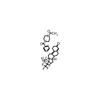 CC(=O)N1CCN(C(=O)c2ccc([C@H]3CC4(C)[C@@H](CC[C@@]4(O)C(F)(F)C(F)(F)F)C4CCC5=CC(=O)CCC5=C43)cc2)CC1